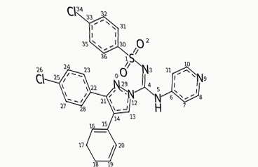 O=S(=O)(N=C(Nc1ccncc1)n1cc(C2=CCCC=C2)c(-c2ccc(Cl)cc2)n1)c1ccc(Cl)cc1